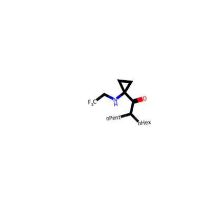 CCCCCCC(CCCCC)C(=O)C1(NCC(F)(F)F)CC1